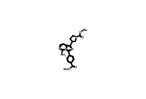 COC(=O)c1ccc(-c2nc(C3CCN(C(=O)OC(C)(C)C)C3)c3ccnc(N)n23)cc1